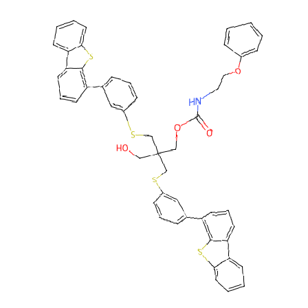 O=C(NCCOc1ccccc1)OCC(CO)(CSc1cccc(-c2cccc3c2sc2ccccc23)c1)CSc1cccc(-c2cccc3c2sc2ccccc23)c1